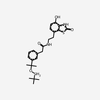 CC(C)(C)[SiH2]OC(C)(C)c1cccc(CC(=O)NCCc2ccc(O)c3[nH]c(=O)sc23)c1